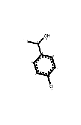 OC(I)c1ccc(Cl)cc1